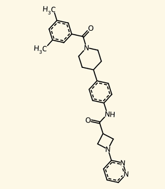 Cc1cc(C)cc(C(=O)N2CCC(c3ccc(NC(=O)C4CN(c5cccnn5)C4)cc3)CC2)c1